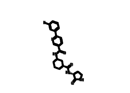 O=C(N[C@@H]1CCC[C@H](C(=O)N[C@@H]2CCNC2=O)C1)c1ccc(-c2cccc(F)c2)nc1